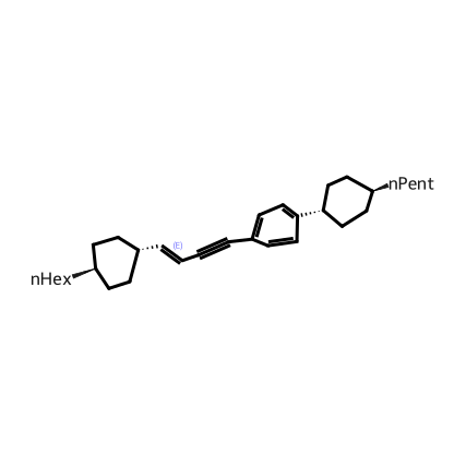 CCCCCC[C@H]1CC[C@H](/C=C/C#Cc2ccc([C@H]3CC[C@H](CCCCC)CC3)cc2)CC1